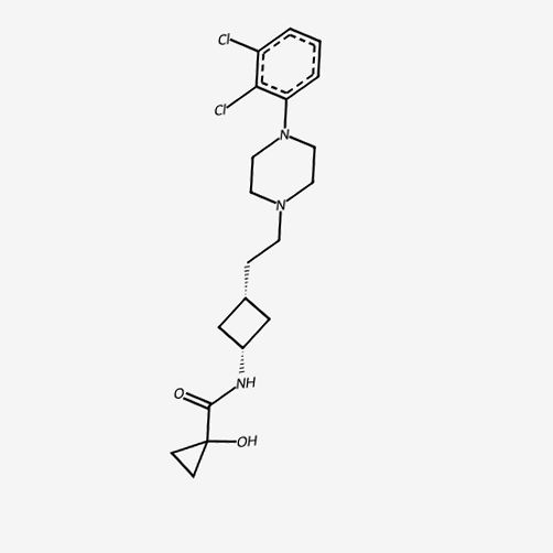 O=C(N[C@H]1C[C@@H](CCN2CCN(c3cccc(Cl)c3Cl)CC2)C1)C1(O)CC1